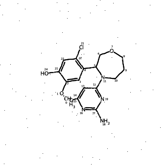 COc1cc(C2COCCCN2c2cc(C)nc(N)n2)c(Cl)cc1O